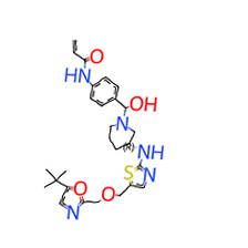 C=CC(=O)Nc1ccc(C(O)N2CCC[C@@H](Nc3ncc(COCc4ncc(C(C)(C)C)o4)s3)C2)cc1